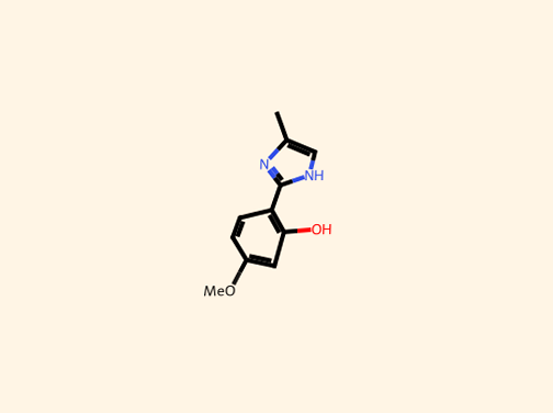 COc1ccc(-c2nc(C)c[nH]2)c(O)c1